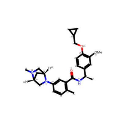 COc1cc([C@@H](C)NC(=O)c2cc(N3C[C@H]4C[C@@H]3CN4C)ccc2C)ccc1OCC1CC1